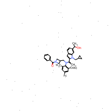 C=C(c1cc2ccc(C(C)O)cc2n1CC1CC1)N(CC1CN(C(=O)c2ccccc2)C1)c1c(C)cc(C(C)=O)cc1OC